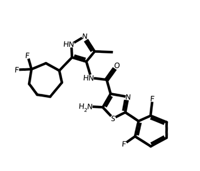 Cc1n[nH]c(C2CCCCC(F)(F)C2)c1NC(=O)c1nc(-c2c(F)cccc2F)sc1N